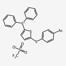 CC(=O)c1ccc(Sc2ccc([S+](c3ccccc3)c3ccccc3)s2)cc1.O=S(=O)([O-])C(F)(F)F